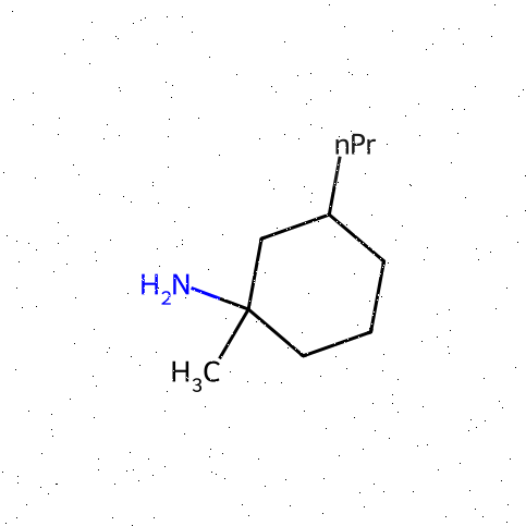 CCCC1CCCC(C)(N)C1